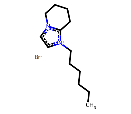 CCCCCC[n+]1ccn2c1CCCC2.[Br-]